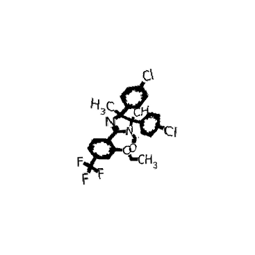 CCOc1cc(C(F)(F)F)ccc1C1=NC(C)(c2ccc(Cl)cc2)C(C)(c2ccc(Cl)cc2)N1[C]=O